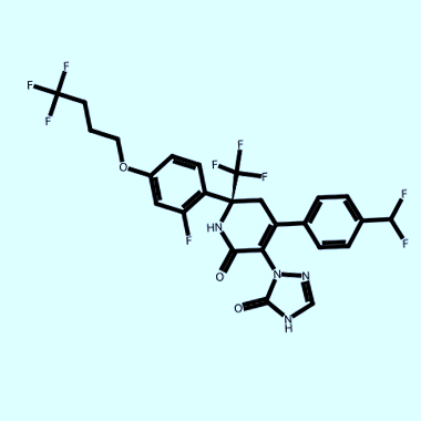 O=C1N[C@@](c2ccc(OCCCC(F)(F)F)cc2F)(C(F)(F)F)CC(c2ccc(C(F)F)cc2)=C1n1nc[nH]c1=O